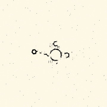 CC[C@H]1OC(=O)[C@H](C)[C@@H](O[C@H]2C[C@@](C)(OC)[C@@H](O)[C@H](C)O2)[C@H](C)[C@@H](O[C@@H]2O[C@H](C)C[C@H](N(C)C)[C@H]2O)[C@](C)(O)C[C@@H](C)CN(CCCNC(=S)Nc2c(F)cccc2F)[C@H](C)[C@@H](O)[C@]1(C)O